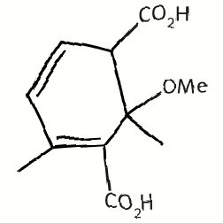 COC1(C)C(C(=O)O)=C(C)C=CC1C(=O)O